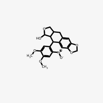 COc1cc(C2c3cc4c(cc3CC3COC(O)C32)OCO4)c([N+](=O)[O-])cc1OC